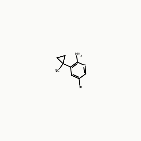 N#CC1(c2cc(Br)cnc2N)CC1